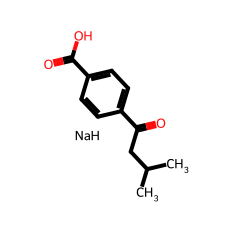 CC(C)CC(=O)c1ccc(C(=O)O)cc1.[NaH]